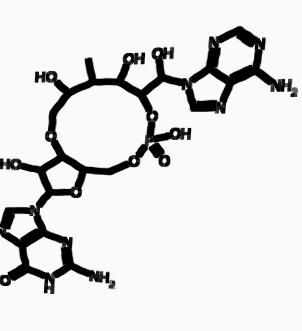 CC1C(O)COC2C(COP(=O)(O)OC(C(O)n3cnc4c(N)ncnc43)C1O)OC(n1cnc3c(=O)[nH]c(N)nc31)C2O